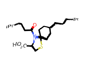 CC(C)CCC=C1CCC2(CC1)SCC(C(=O)O)N2C(=O)CCC(C)C